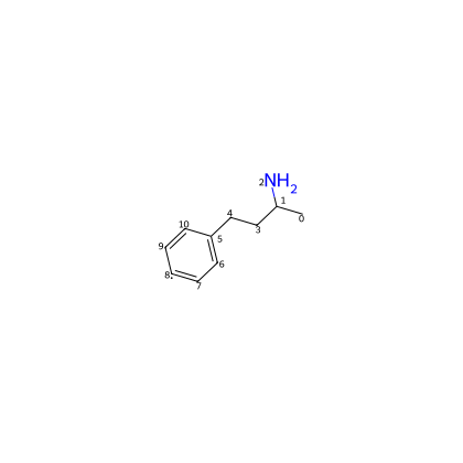 CC(N)CCc1cc[c]cc1